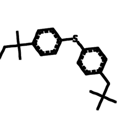 CCC(C)(C)c1ccc(Sc2ccc(CC(C)(C)C)cc2)cc1